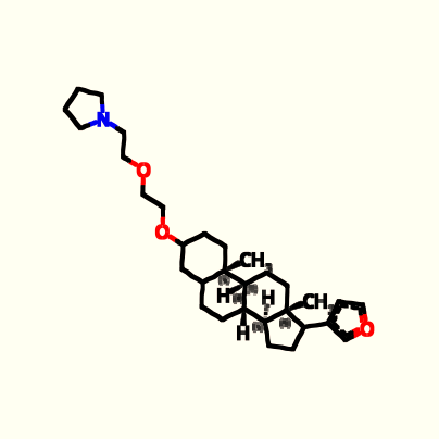 C[C@]12CCC(OCCOCCN3CCCC3)CC1CC[C@@H]1[C@H]2CC[C@]2(C)C(c3ccoc3)CC[C@@H]12